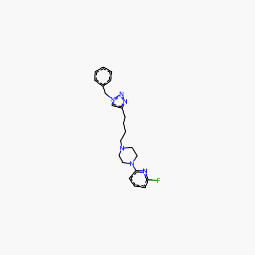 Fc1cccc(N2CCN(CCCCc3cn(Cc4ccccc4)nn3)CC2)n1